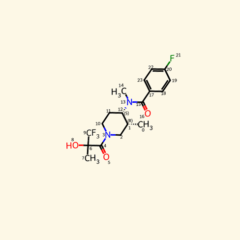 C[C@@H]1CN(C(=O)C(C)(O)C(F)(F)F)CC[C@@H]1N(C)C(=O)c1ccc(F)cc1